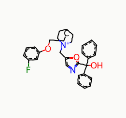 OC(c1ccccc1)(c1ccccc1)c1ncc(C[N+]23CCC(CC2)CC3COc2cccc(F)c2)o1